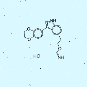 Cl.N=COCCc1ccc2[nH]nc(-c3ccc4c(c3)OCCO4)c2c1